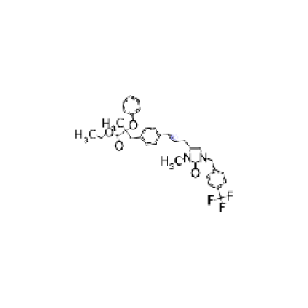 CCOC(=O)C(C)(Cc1ccc(/C=C/CC2CN(Cc3ccc(C(F)(F)F)cc3)C(=O)N2C)cc1)Oc1ccccc1